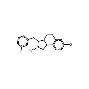 CN1CC2c3ccc(Cl)cc3CCC2C1Cc1cccc(Cl)c1